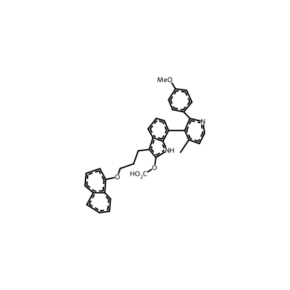 COc1ccc(-c2nccc(C)c2-c2cccc3c(CCCOc4cccc5ccccc45)c(OC(=O)O)[nH]c23)cc1